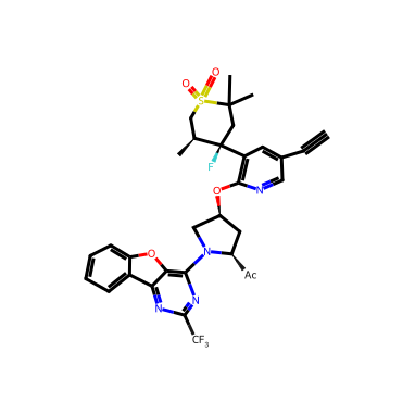 C#Cc1cnc(O[C@H]2C[C@@H](C(C)=O)N(c3nc(C(F)(F)F)nc4c3oc3ccccc34)C2)c([C@@]2(F)CC(C)(C)S(=O)(=O)C[C@@H]2C)c1